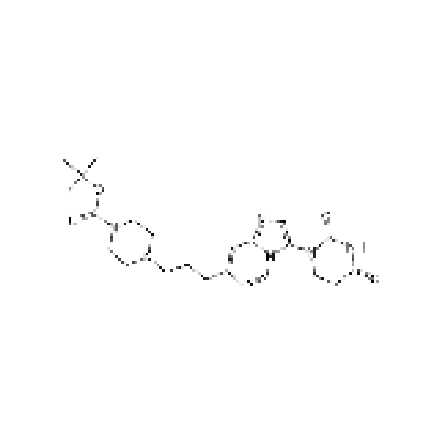 CC(C)(C)OC(=O)N1CCN(CCCc2ccn3c(N4CCC(=O)NC4=O)cnc3c2)CC1